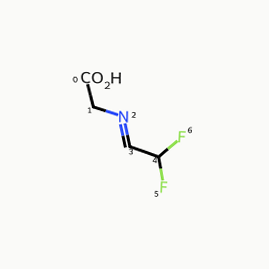 O=C(O)C/N=C/C(F)F